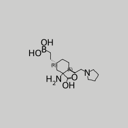 NC1(C(=O)O)C[C@H](CCB(O)O)CC[C@H]1CCN1CCCC1